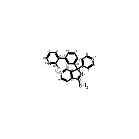 NC1=NC(c2ccncc2)(c2cccc(-c3cccnc3F)c2)c2cnccc21